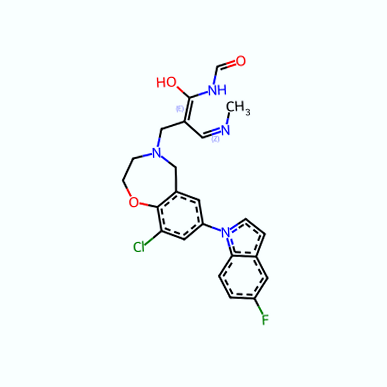 C/N=C\C(CN1CCOc2c(Cl)cc(-n3ccc4cc(F)ccc43)cc2C1)=C(\O)NC=O